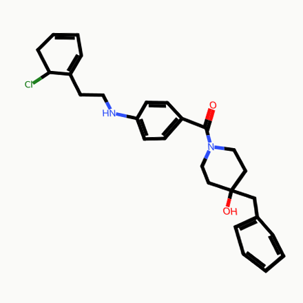 O=C(c1ccc(NCCC2=CC=CCC2Cl)cc1)N1CCC(O)(Cc2ccccc2)CC1